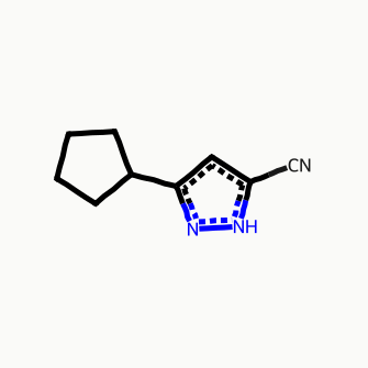 N#Cc1cc(C2CCCC2)n[nH]1